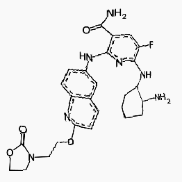 NC(=O)c1cc(F)c(NC2CCCCC2N)nc1Nc1ccc2nc(OCCN3CCOC3=O)ccc2c1